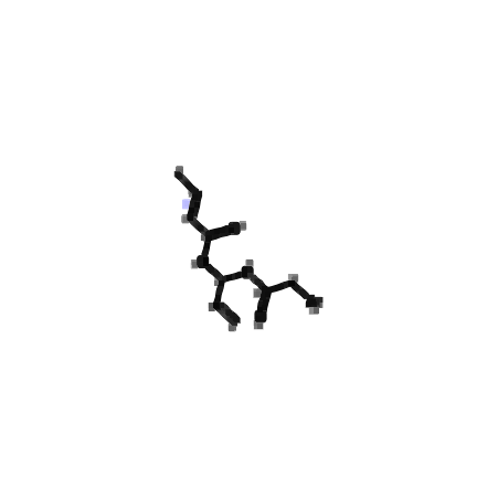 C=CC(OC(=O)/C=C/C)OC(=O)CC(C)=O